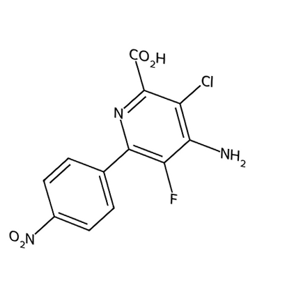 Nc1c(F)c(-c2ccc([N+](=O)[O-])cc2)nc(C(=O)O)c1Cl